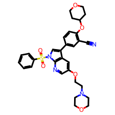 N#Cc1cc(-c2cn(S(=O)(=O)c3ccccc3)c3ncc(OCCN4CCOCC4)cc23)ccc1OC1CCOCC1